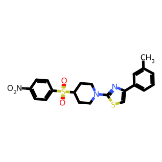 Cc1cccc(-c2csc(N3CCC(S(=O)(=O)c4ccc([N+](=O)[O-])cc4)CC3)n2)c1